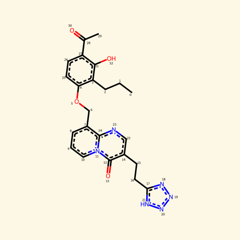 CCCc1c(OCc2cccn3c(=O)c(CCc4nnn[nH]4)cnc23)ccc(C(C)=O)c1O